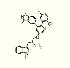 Cc1n[nH]c2ccc(-c3cc(OC[C@@H](N)Cc4c[nH]c5ccccc45)cnc3-c3cc(F)ccc3O)cc12